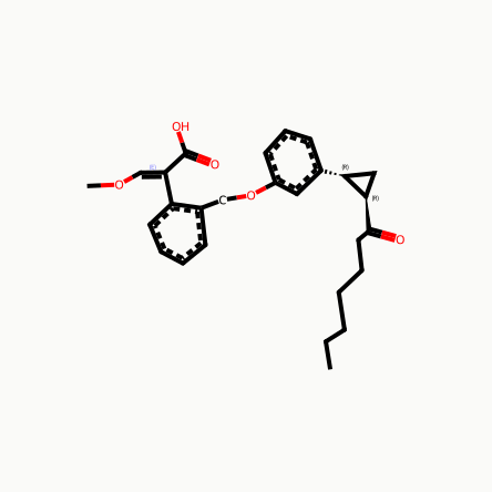 CCCCCCC(=O)[C@@H]1C[C@H]1c1cccc(OCc2ccccc2/C(=C\OC)C(=O)O)c1